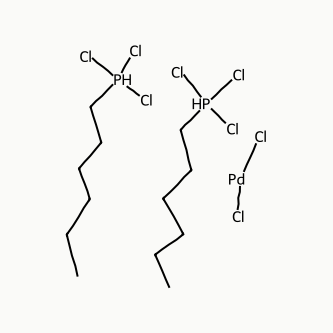 CCCCCC[PH](Cl)(Cl)Cl.CCCCCC[PH](Cl)(Cl)Cl.[Cl][Pd][Cl]